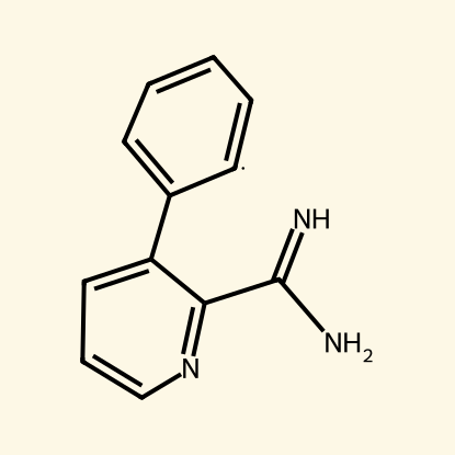 N=C(N)c1ncccc1-c1[c]cccc1